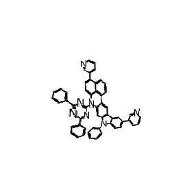 c1ccc(-c2nc(-c3ccccc3)nc(N3c4cc5c(cc4-c4cccc6c(-c7cccnc7)ccc3c46)c3cc(-c4cccnc4)ccc3n5-c3ccccc3)n2)cc1